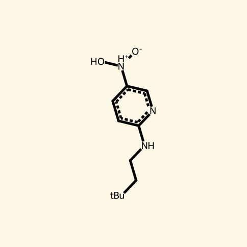 CC(C)(C)CCNc1ccc([NH+]([O-])O)cn1